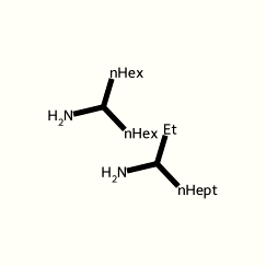 CCCCCCC(N)CCCCCC.CCCCCCCC(N)CC